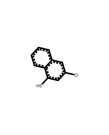 Sc1cc(Cl)cc2ccccc12